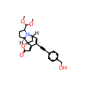 COC(OC)C1CC[C@H]2N1[C@@H]1C=C(C#Cc3ccc(CO)cc3)C3=CC(=O)O[C@@]32C1